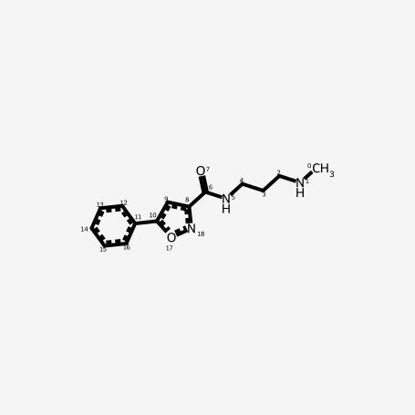 CNCCCNC(=O)c1cc(-c2ccccc2)on1